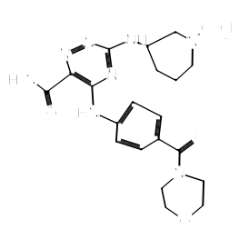 NC(=O)c1nnc(N[C@@H]2CCCN(C(=O)O)C2)nc1Nc1ccc(C(=O)N2CCOCC2)cc1